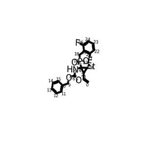 C=CC1CC1(NC(=O)OCc1ccccc1)P(=O)(Cc1c(F)cccc1F)OCC